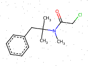 CN(C(=O)CCl)C(C)(C)Cc1ccccc1